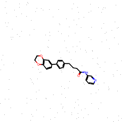 O=C(CCCc1ccc(-c2ccc3c(c2)OCCO3)cc1)Nc1cccnc1